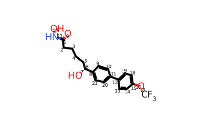 O=C(CCCC[C@@H](O)c1ccc(-c2ccc(OC(F)(F)F)cc2)cc1)NO